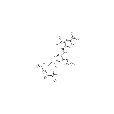 CC(=O)Nc1cc(N(CCOC(C)C)CCOC(C)CO)ccc1/N=N/c1ccc([N+](=O)[O-])cc1[N+](=O)[O-]